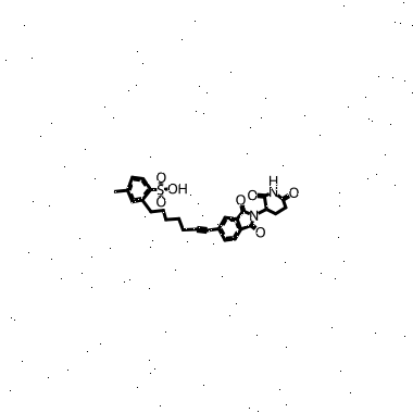 Cc1ccc(S(=O)(=O)O)c(CCCCCC#Cc2ccc3c(c2)C(=O)N(C2CCC(=O)NC2=O)C3=O)c1